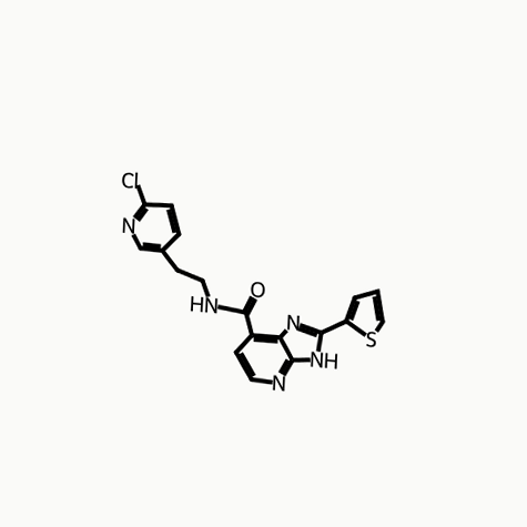 O=C(NCCc1ccc(Cl)nc1)c1ccnc2[nH]c(-c3cccs3)nc12